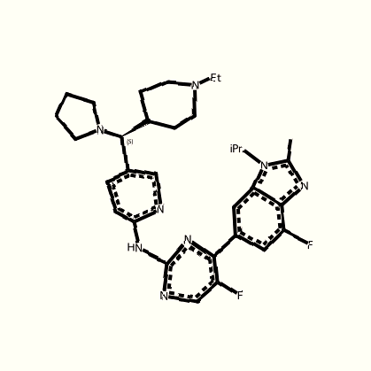 CCN1CCC([C@@H](c2ccc(Nc3ncc(F)c(-c4cc(F)c5nc(C)n(C(C)C)c5c4)n3)nc2)N2CCCC2)CC1